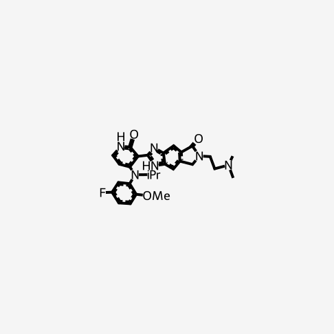 COc1ccc(F)cc1N(c1cc[nH]c(=O)c1-c1nc2cc3c(cc2[nH]1)CN(CCN(C)C)C3=O)C(C)C